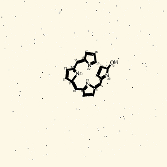 OC1C=CC(C=C2C=CC(C=C3C=CC(C=C4C=CC=N4)=N3)=N2)=N1